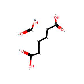 O=C(O)CCCCC(=O)O.O=CO